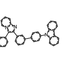 c1ccc(-c2c(-c3cccc(-c4ccc(-n5c6ccccc6c6ccccc65)cc4)c3)nc3ccccn23)cc1